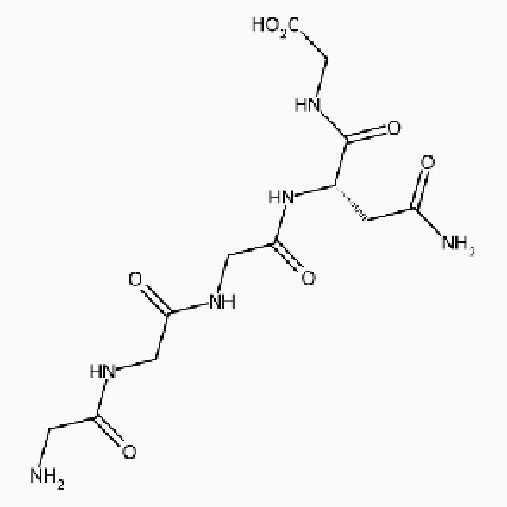 NCC(=O)NCC(=O)NCC(=O)N[C@@H](CC(N)=O)C(=O)NCC(=O)O